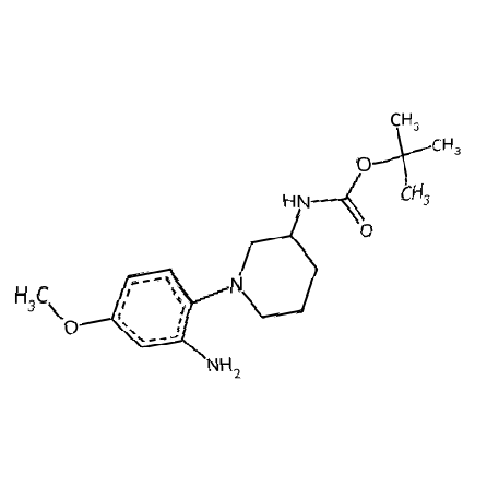 COc1ccc(N2CCCC(NC(=O)OC(C)(C)C)C2)c(N)c1